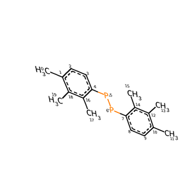 Cc1ccc([P][P]c2ccc(C)c(C)c2C)c(C)c1C